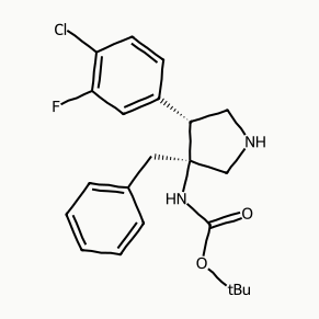 CC(C)(C)OC(=O)N[C@]1(Cc2ccccc2)CNC[C@H]1c1ccc(Cl)c(F)c1